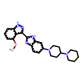 COc1cccc2[nH]nc(-c3nc4ccc(N5CCC(N6CCCCC6)CC5)cc4[nH]3)c12